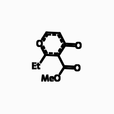 CCc1occc(=O)c1C(=O)OC